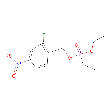 CCOP(=O)(CC)OCc1ccc([N+](=O)[O-])cc1F